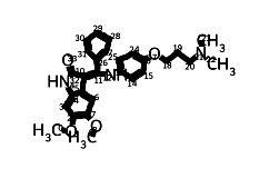 COc1cc2c(cc1OC)C(=C(Nc1ccc(OCCCN(C)C)cc1)c1ccccc1)C(=O)N2